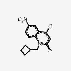 O=c1cc(Cl)c2cc([N+](=O)[O-])ccc2n1CC1CCC1